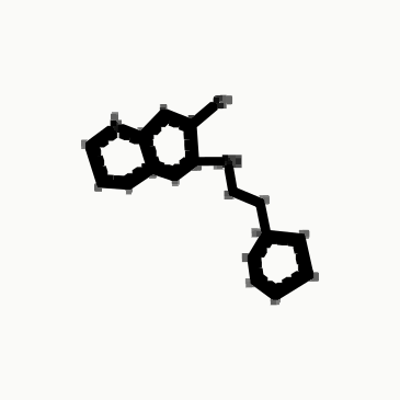 Clc1cc2ncccc2cc1NCCc1ccccc1